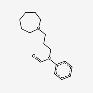 O=CN(CCCN1CCCCCC1)c1ccccc1